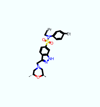 CCc1ccc(N(CC(C)C)S(=O)(=O)c2ccc3c(CN4C[C@@H](C)O[C@@H](C)C4)n[nH]c3c2)cc1